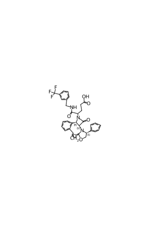 C=Cc1ccccc1[C@@H]1[C@H](N2C(=O)OC[C@@H]2c2ccccc2)C(=O)N1C(CCC(=O)O)C(=O)NCc1cccc(C(F)(F)F)c1